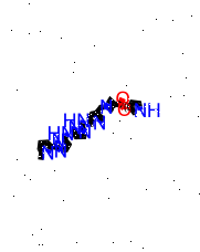 Cc1cccc(-c2nccc(Nc3ccnc(Nc4cncc(CN5CC(C(=O)O[C@H]6CCNC6)C5)c4)n3)n2)n1